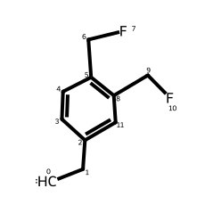 [CH]Cc1ccc(CF)c(CF)c1